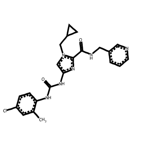 Cc1cc(Cl)ccc1NC(=O)Nc1cn(CC2CC2)c(C(=O)NCc2cccnc2)n1